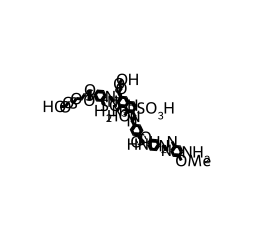 COc1cc(/N=N/c2ccc(NS(=O)(=O)c3ccc(/N=N/c4c(S(=O)(=O)O)cc5cc(SOOO)c(/N=N/c6ccc(S(=O)(=O)CCOSOOO)cc6S(=O)(=O)O)c(N)c5c4O)cc3)cc2)c(N)cc1N